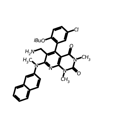 CC(C)COc1ccc(Cl)cc1-c1c(CN)c(N(C)c2ccc3ccccc3c2)nc2c1c(=O)n(C)c(=O)n2C